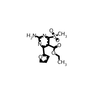 CCOC(=O)c1c(-c2ccco2)nc(N)nc1S(C)(=O)=O